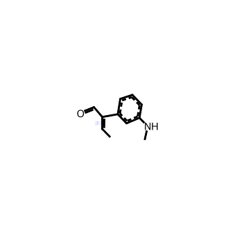 C/C=C(/C=O)c1cccc(NC)c1